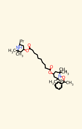 CC(ON1C(C)(C)CC(OC(=O)CCCCCCCCC(=O)OC2CC(C(C)C)NC(C)(C)C2)CC1(C)C(C)C)c1ccccc1